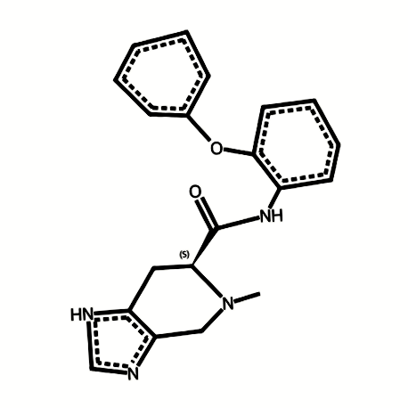 CN1Cc2nc[nH]c2C[C@H]1C(=O)Nc1ccccc1Oc1ccccc1